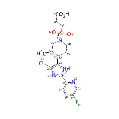 C[C@H]1CN(S(=O)(=O)CCC(=O)O)CC[C@H]1c1[nH]c(-c2ccc(F)cn2)nc1Cl